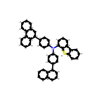 c1ccc2c(-c3ccc(N(c4ccc(-c5cc6ccccc6c6ccccc56)cc4)c4cccc5c4sc4ccccc45)cc3)cccc2c1